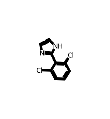 Clc1cccc(Cl)c1-c1ncc[nH]1